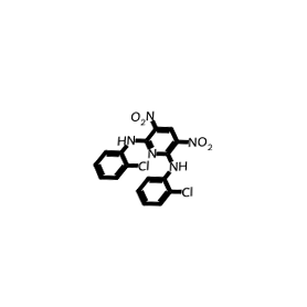 O=[N+]([O-])c1cc([N+](=O)[O-])c(Nc2ccccc2Cl)nc1Nc1ccccc1Cl